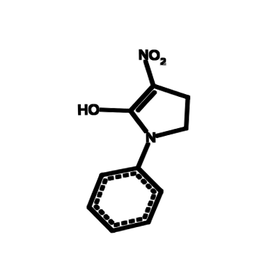 O=[N+]([O-])C1=C(O)N(c2ccccc2)CC1